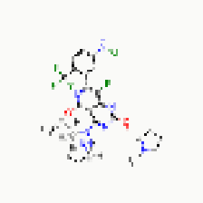 C[C@@H]1Oc2nc(-c3cc(NCl)ccc3C(F)(F)F)c(F)c3nc(OC[C@@H]4CCCN4C)nc(c23)N2C[C@H]3CC[C@H](N3)[C@@H]12